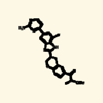 CON(C)C(=O)c1ccc2c(c1)CC(c1nc3cc(-c4ccnc(N)n4)cc(F)c3[nH]1)CO2